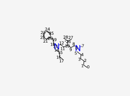 CCCCCCN(C)CCC(CCN(CCCC)CCc1ccccc1)[C](C)C